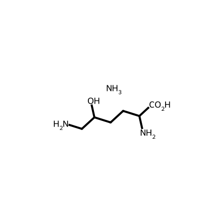 N.NCC(O)CCC(N)C(=O)O